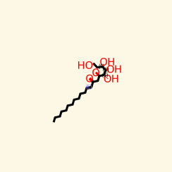 CCCCCCCCCCC/C=C/C(=O)CC1OC(CO)[C@@H](O)[C@H](O)[C@@H]1O